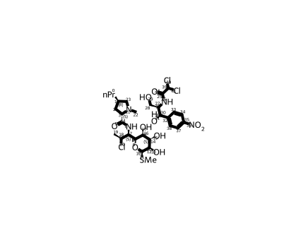 CCC[C@@H]1C[C@@H](C(=O)N[C@@H]([C@H]2O[C@H](SC)[C@H](O)[C@@H](O)[C@H]2O)[C@H](C)Cl)N(C)C1.O=C(N[C@H](CO)[C@H](O)c1ccc([N+](=O)[O-])cc1)C(Cl)Cl